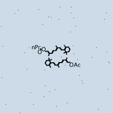 CC(=O)OCC=C(C)C=CC=C(C)C=CC1=C(C)CCCC1(C)C.CCCC(=O)OCC=C(C)C=CC=C(C)C=CC1=C(C)CCCC1(C)C